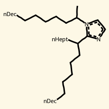 CCCCCCCCCCCCCCCC(CCCCCCC)c1nccn1C(C)CCCCCCCCCCCCCCC